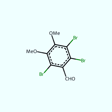 COc1c(Br)c(Br)c(C=O)c(Br)c1OC